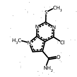 CSc1nc(Cl)c2c(C(N)=O)cn(C)c2n1